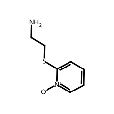 NCCSc1cccc[n+]1[O-]